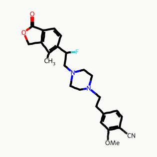 COc1cc(CCN2CCN(CC(F)c3ccc4c(c3C)COC4=O)CC2)ccc1C#N